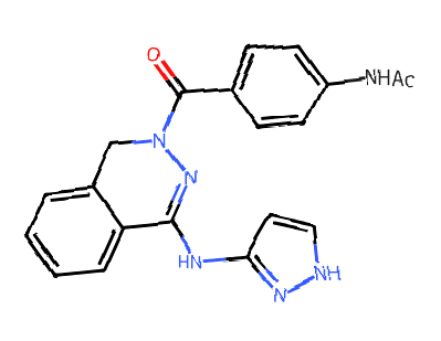 CC(=O)Nc1ccc(C(=O)N2Cc3ccccc3C(Nc3cc[nH]n3)=N2)cc1